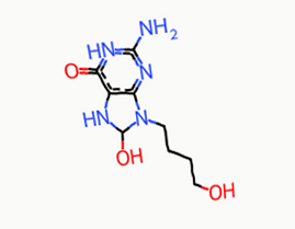 Nc1nc2c(c(=O)[nH]1)NC(O)N2CCCCO